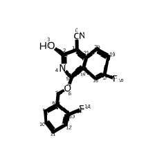 N#Cc1c(O)nc(OCc2ccccc2F)c2cc(F)ccc12